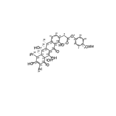 COc1ccc(OC(=O)Cc2ccc3c(c2O)C(=O)C2=C(O)[C@@]4(O)C(=O)C(C(C)=O)=C(O)C(C(C)C)[C@@]4(C)[C@H](O)[C@@]2(C)[C@@H]3C)cc1